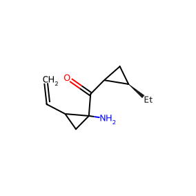 C=CC1CC1(N)C(=O)C1C[C@H]1CC